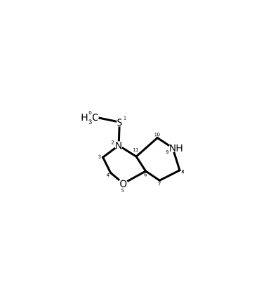 CSN1CCOC2CCNCC21